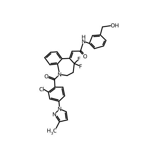 Cc1ccn(-c2ccc(C(=O)N3CCC(F)(F)C(=CC(=O)Nc4cccc(CO)c4)c4ccccc43)c(Cl)c2)n1